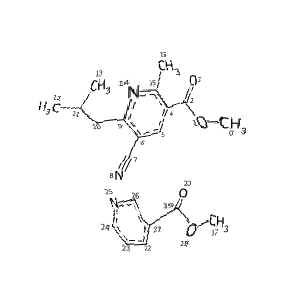 COC(=O)c1cc(C#N)c(CC(C)C)nc1C.COC(=O)c1cccnc1